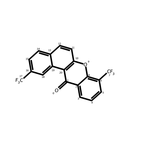 O=c1c2cccc(C(F)(F)F)c2oc2ccc3ccc(C(F)(F)F)cc3c12